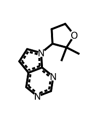 CC1(C)OCCC1n1ccc2cncnc21